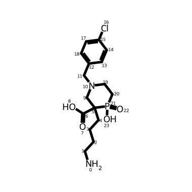 NCCCCC1(C(=O)O)CN(Cc2ccc(Cl)cc2)CCP1(=O)O